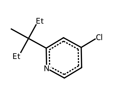 CCC(C)(CC)c1cc(Cl)ccn1